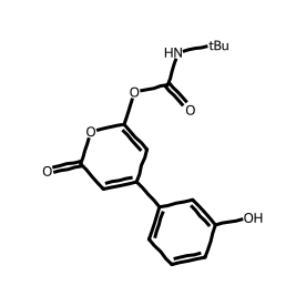 CC(C)(C)NC(=O)Oc1cc(-c2cccc(O)c2)cc(=O)o1